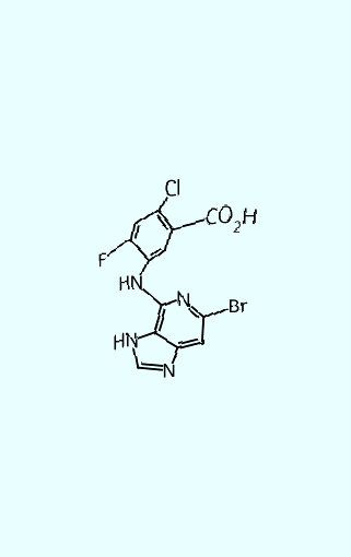 O=C(O)c1cc(Nc2nc(Br)cc3nc[nH]c23)c(F)cc1Cl